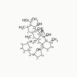 CC(O)C1C(C)C[C@]2(C)C[C@]3(C)CC4C(C5CCC(CC6CCCCC6)O5)CCC(C)C4C(O)C3C(C)[C@]2(C)C1O